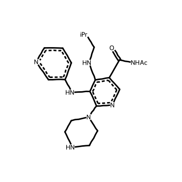 CC(=O)NC(=O)c1cnc(N2CCNCC2)c(Nc2cccnc2)c1NCC(C)C